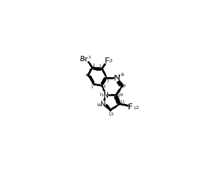 Fc1c(Br)ccc2c1ncc1c(F)cnn12